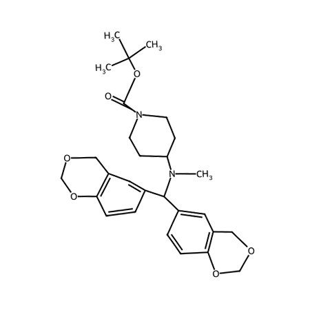 CN(C1CCN(C(=O)OC(C)(C)C)CC1)C(c1ccc2c(c1)COCO2)c1ccc2c(c1)COCO2